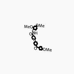 COc1ccc(C(=O)c2ccc(N3CCC(C(=O)NCc4ccc(OC)cc4OC)CC3)cc2)cc1